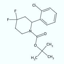 CC(C)(C)OC(=O)N1CCC(F)(F)CC1c1ccccc1Cl